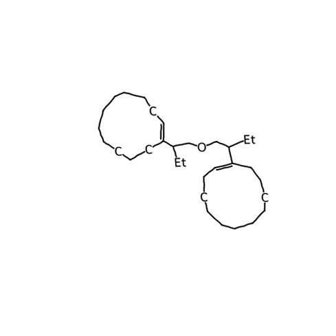 CCC(COCC(CC)C1=CCCCCCCCCCC1)C1=CCCCCCCCCCC1